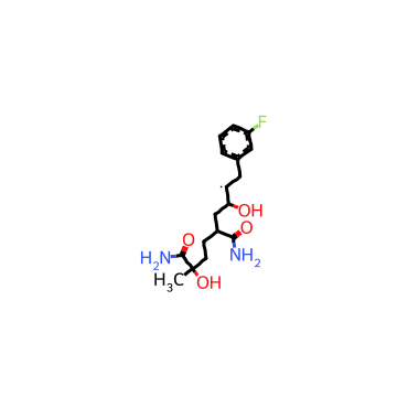 CC(O)(CCC(CC(O)[CH]Cc1cccc(F)c1)C(N)=O)C(N)=O